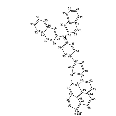 Brc1ccc2ccc3c(-c4ccc(-c5ccc(N(c6ccc7ccccc7c6)c6ccc7ccccc7c6)cc5)cc4)ccc4ccc1c2c43